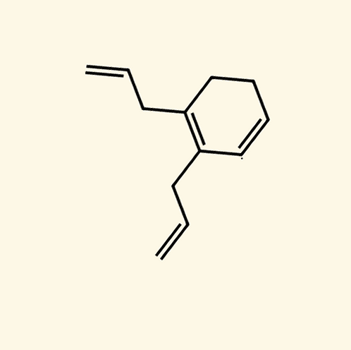 C=CCC1=C(CC=C)CCC=[C]1